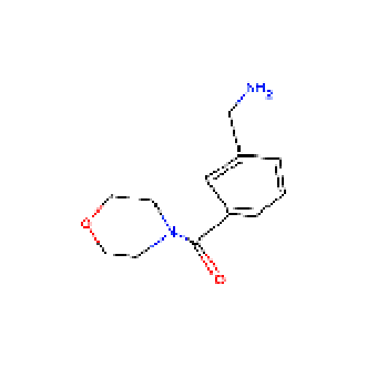 NCc1cccc(C(=O)N2CCOCC2)c1